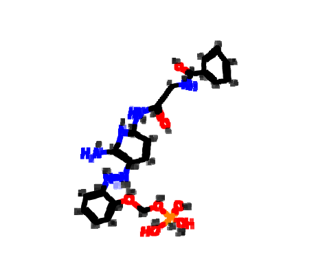 Nc1nc(NC(=O)CNC(=O)c2ccccc2)ccc1/N=N/c1ccccc1OCOP(=O)(O)O